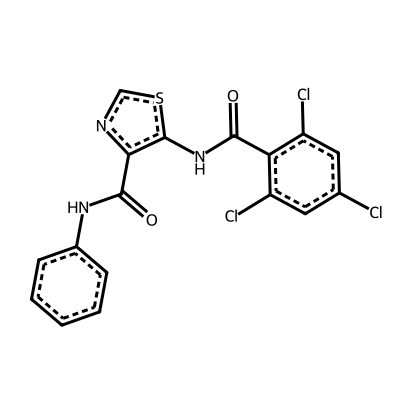 O=C(Nc1ccccc1)c1ncsc1NC(=O)c1c(Cl)cc(Cl)cc1Cl